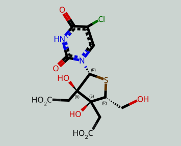 O=C(O)C[C@@]1(O)[C@@H](CO)S[C@@H](n2cc(Cl)c(=O)[nH]c2=O)[C@@]1(O)CC(=O)O